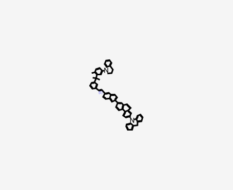 Cc1ccc(N2CCCc3ccccc32)cc1C(C)(C)c1cccc(/C=C/c2ccc3cc(-c4ccc5c(ccc6cc(N7c8ccccc8Cc8ccccc87)ccc65)c4)ccc3c2)c1